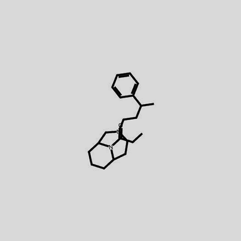 CCC(=O)N1C2CCCC1CN(CCC(C)c1ccccc1)CC2